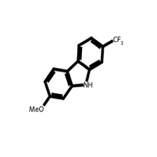 COc1ccc2c(c1)[nH]c1cc(C(F)(F)F)ccc12